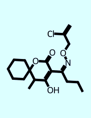 C=C(Cl)CO/N=C(/CCC)C1=C(O)C(C)C2(CCCCC2)OC1=O